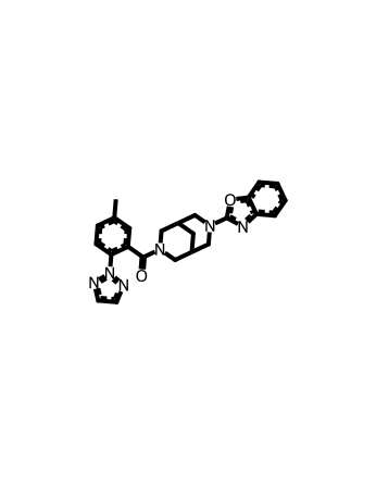 Cc1ccc(-n2nccn2)c(C(=O)N2CC3CC(C2)CN(c2nc4ccccc4o2)C3)c1